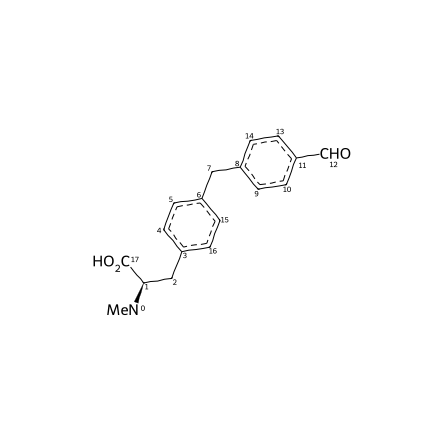 CN[C@H](Cc1ccc(Cc2ccc(C=O)cc2)cc1)C(=O)O